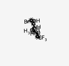 C[C@H](CC(=N)C1CCC(O)(c2cccc(Br)c2)CC1)NC(=O)CNC(=O)c1cccc(C(F)(F)F)c1